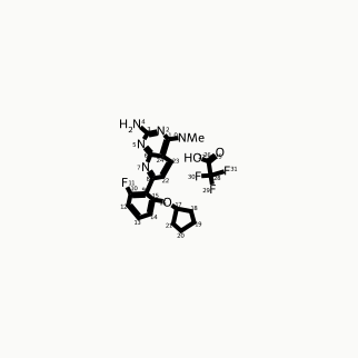 CNc1nc(N)nc2nc(-c3c(F)cccc3OC3CCCC3)ccc12.O=C(O)C(F)(F)F